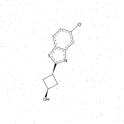 O[C@H]1C[C@@H](c2nc3cc(Cl)ccc3s2)C1